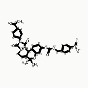 CC(=O)c1ccc(-n2c(=O)n3n(c2=O)C2C(=CC3)C(C)(C)Oc3cc(OC(=O)OCc4ccc([N+](=O)[O-])cc4)ccc32)cc1